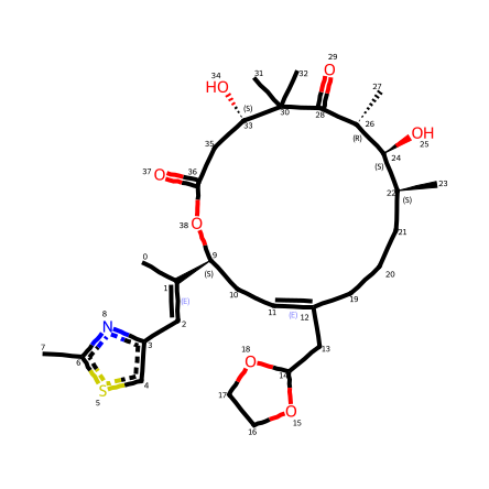 C/C(=C\c1csc(C)n1)[C@@H]1C/C=C(/CC2OCCO2)CCC[C@H](C)[C@H](O)[C@@H](C)C(=O)C(C)(C)[C@@H](O)CC(=O)O1